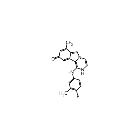 Cc1cc(Nc2[nH]ccn3cc4c(C(F)(F)F)cc(=O)cc4c23)ccc1F